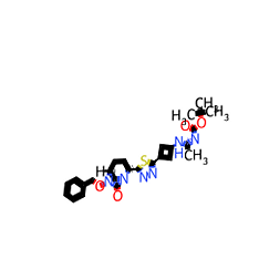 C/C(=N/C(=O)OC(C)(C)C)N[C@H]1C[C@@H](c2nnc([C@@H]3CC[C@@H]4CN3C(=O)N4OCc3ccccc3)s2)C1